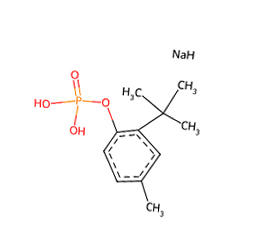 Cc1ccc(OP(=O)(O)O)c(C(C)(C)C)c1.[NaH]